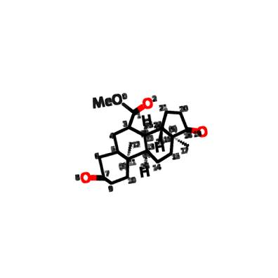 COC(=O)C1CC2CC(=O)CC[C@]2(C)[C@@H]2CC[C@]3(C)C(=O)CC[C@H]3[C@H]12